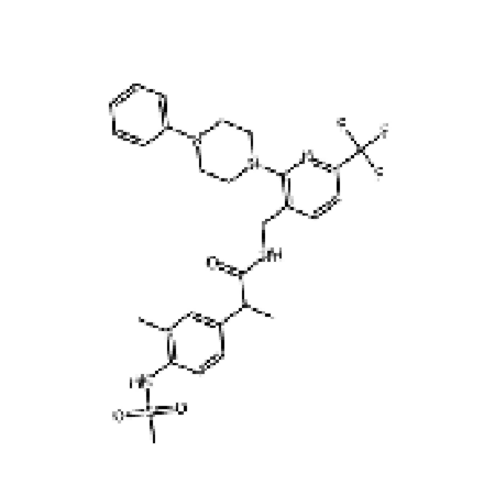 Cc1cc(C(C)C(=O)NCc2ccc(C(F)(F)F)nc2N2CCN(c3ccccc3)CC2)ccc1NS(C)(=O)=O